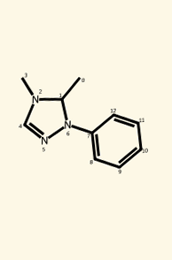 CC1N(C)C=NN1c1ccccc1